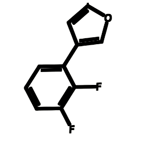 Fc1cccc(-c2c[c]oc2)c1F